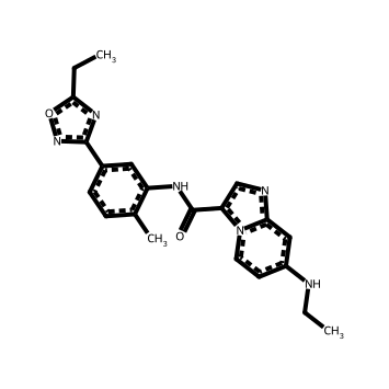 CCNc1ccn2c(C(=O)Nc3cc(-c4noc(CC)n4)ccc3C)cnc2c1